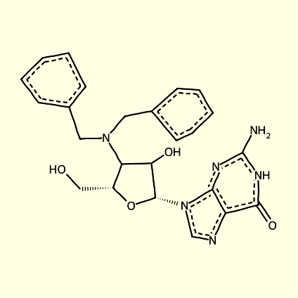 Nc1nc2c(ncn2[C@@H]2O[C@H](CO)C(N(Cc3ccccc3)Cc3ccccc3)C2O)c(=O)[nH]1